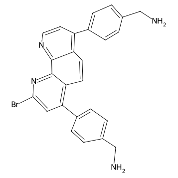 NCc1ccc(-c2ccnc3c2ccc2c(-c4ccc(CN)cc4)cc(Br)nc23)cc1